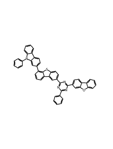 c1ccc(-c2nc(-c3ccc4c(c3)oc3ccccc34)nc(-c3ccc4sc5c(-c6ccc7c8ccccc8n(-c8ccccc8)c7c6)cccc5c4c3)n2)cc1